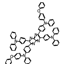 c1ccc(Oc2ccc(N(c3ccccc3)c3ccc(-c4nc5nc(-c6ccc(N(c7ccccc7)c7ccccc7)cc6)c(-c6ccc(N(c7ccccc7)c7ccc(Oc8ccccc8)cc7)cc6)nc5nc4-c4ccc(N(c5ccccc5)c5ccccc5)cc4)cc3)cc2)cc1